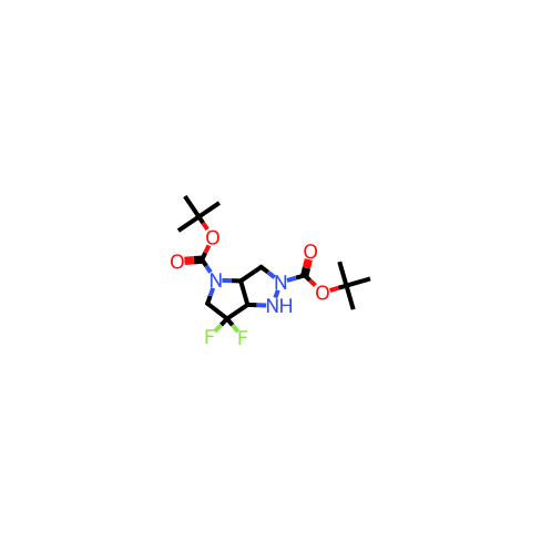 CC(C)(C)OC(=O)N1CC2C(N1)C(F)(F)CN2C(=O)OC(C)(C)C